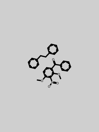 COc1ccc(C(=O)c2ccccc2)c(OC)c1[N+](=O)[O-].c1ccc(CCc2ccccc2)cc1